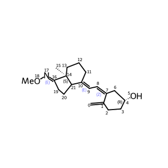 C=C1CC[C@@H](O)C/C1=C/C=C1\CCC[C@]2(C)/C(=N/OC)CCC12